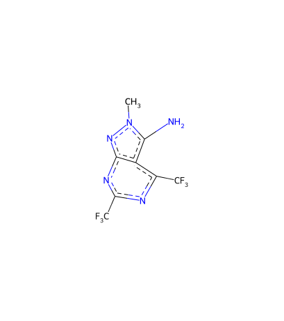 Cn1nc2nc(C(F)(F)F)nc(C(F)(F)F)c2c1N